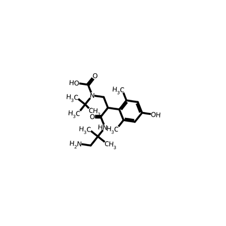 Cc1cc(O)cc(C)c1C(CN(C(=O)O)C(C)(C)C)C(=O)NC(C)(C)CN